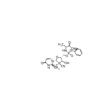 C=C1NC(=O)C=CN1[C@@H]1O[C@H](CO[P@@](=O)(N[C@@H](C)C(=O)OC)Oc2ccccc2)[C@@H](O)[C@@]1(C)C#N